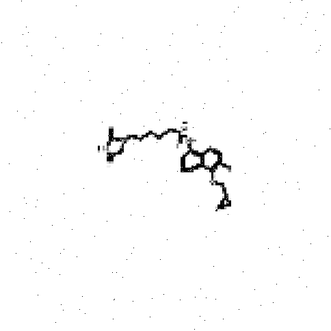 O=C1CN(CCCCCS(=O)(=O)Nc2cccc3c(OCC4CC4)c(F)ccc23)C(=O)N1